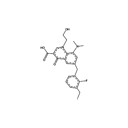 CN(C)c1cc(Cc2cccc(CI)c2F)cc2c(=O)c(C(=O)O)cn(CCO)c12